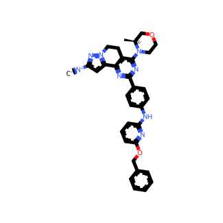 [C-]#[N+]c1cc2n(n1)CCc1c-2nc(-c2ccc(Nc3cccc(OCc4ccccc4)n3)cc2)nc1N1CCOC[C@@H]1C